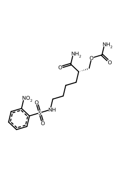 NC(=O)OC[C@H](CCCCNS(=O)(=O)c1ccccc1[N+](=O)[O-])C(N)=O